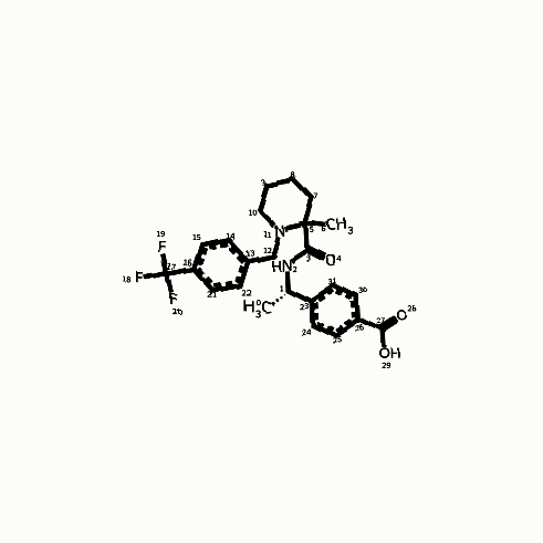 C[C@H](NC(=O)C1(C)CCCCN1Cc1ccc(C(F)(F)F)cc1)c1ccc(C(=O)O)cc1